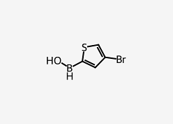 OBc1cc(Br)cs1